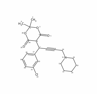 CC1(C)OC(=O)C(C(C#CCN2CCCCC2)c2cccc(Cl)c2)C(=O)O1